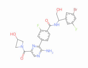 Nc1ncc(C(=O)N2CC(O)C2)nc1-c1ccc(C(=O)NC(CO)c2cc(F)cc(Br)c2)c(F)c1